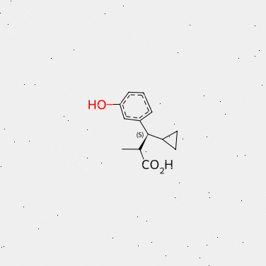 CC(C(=O)O)[C@@H](c1cccc(O)c1)C1CC1